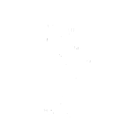 Cc1[nH]c(C(C)(C)C)nc1-c1ccc(C(N)=O)cc1